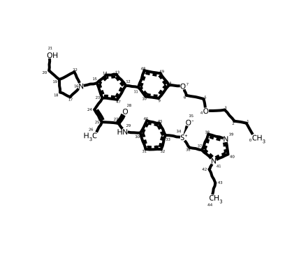 CCCCOCCOc1ccc(-c2ccc(N3CCC(CO)C3)c(C=C(C)C(=O)Nc3ccc([S@@+]([O-])Cc4cncn4CCC)cc3)c2)cc1